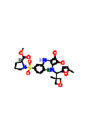 COC(=O)[C@@H]1CCCN1S(=O)(=O)c1ccc(Cl)c(Nc2c(NC(c3ccc(C)o3)C3(C)COC3)c(=O)c2=O)c1